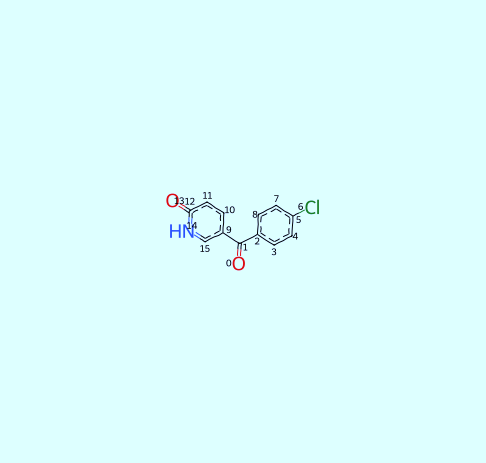 O=C(c1ccc(Cl)cc1)c1ccc(=O)[nH]c1